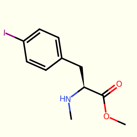 CN[C@@H](Cc1ccc(I)cc1)C(=O)OC